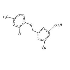 N#Cc1cc(COc2ccc(C(F)(F)F)cc2Cl)cc(C(=O)O)c1